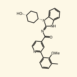 COc1c(C)cccc1-c1cc(C(=O)/N=c2\[nH]c3ccccc3n2[C@H]2CC[C@@H](O)CC2)ccn1